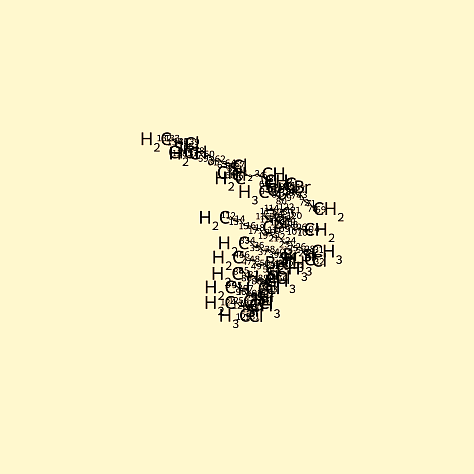 C=CCCC(C)C[Si](C)(C)Cl.C=CCCCCCCCCCCCCCCCC[Si](C)(C)Cl.C=CCCCCCC[Si](C)(Br)Br.C=CCCCCCC[Si](C)(C)Cl.C=CCCCCCC[Si](Cl)(Cl)Cl.C=CCCCC[Si](C)(Br)c1ccccc1.C=CCCCC[Si](C)(C)Cl.C=CCCCC[Si](Cl)(Cl)Cl.C=CCCCC[Si](Cl)(c1ccccc1)c1ccccc1.C=CCC[Si](C)(C)Cl.C=CCC[Si](C)(Cl)Cl